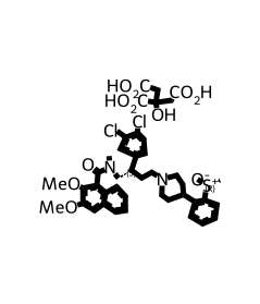 COc1cc2ccccc2c(C(=O)N(C)C[C@@H](CCN2CCC(c3ccccc3[S@+](C)[O-])CC2)c2ccc(Cl)c(Cl)c2)c1OC.O=C(O)CC(O)(CC(=O)O)C(=O)O